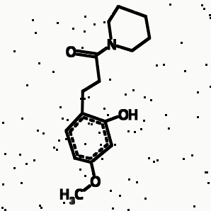 COc1ccc(CCC(=O)N2CCCCC2)c(O)c1